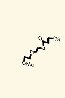 COCCOCCOC(=O)C=CC#N